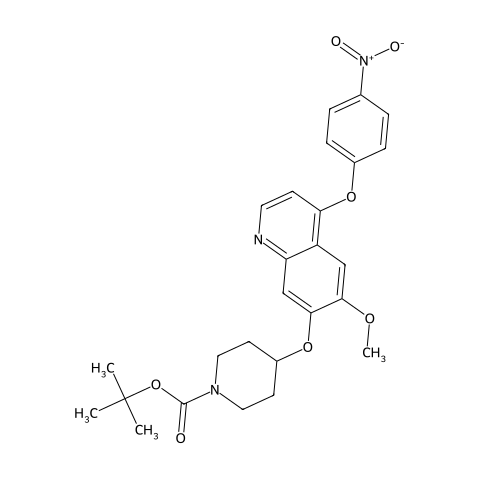 COc1cc2c(Oc3ccc([N+](=O)[O-])cc3)ccnc2cc1OC1CCN(C(=O)OC(C)(C)C)CC1